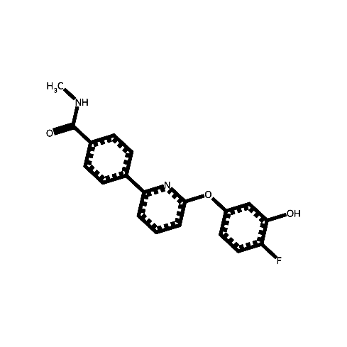 CNC(=O)c1ccc(-c2cccc(Oc3ccc(F)c(O)c3)n2)cc1